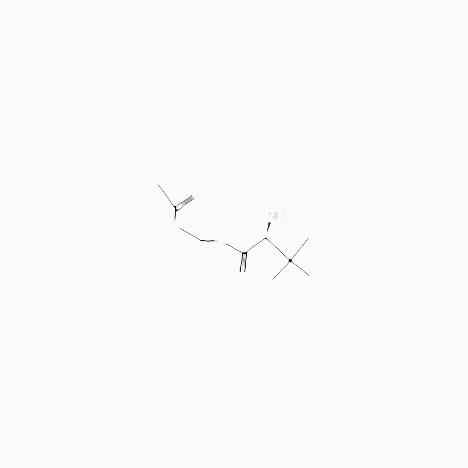 CC(=O)O[C@@H](C)OC(=O)[C@@H](N)C(C)(C)C